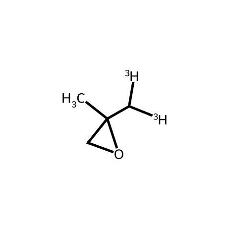 [3H]C([3H])C1(C)CO1